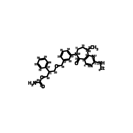 CCNc1ncc2c(n1)N(C)CCN(c1cccc(COCC(COC(N)=O)c3ccccc3)c1)C2=O